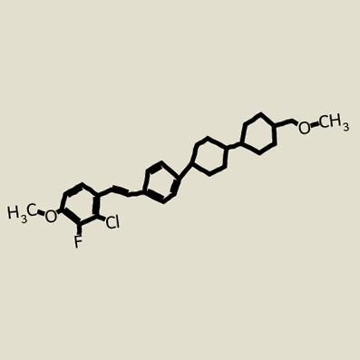 COCC1CCC(C2CCC(c3ccc(/C=C/c4ccc(OC)c(F)c4Cl)cc3)CC2)CC1